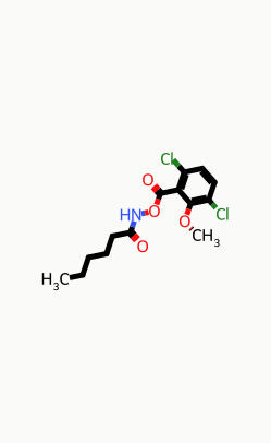 CCCCCC(=O)NOC(=O)c1c(Cl)ccc(Cl)c1OC